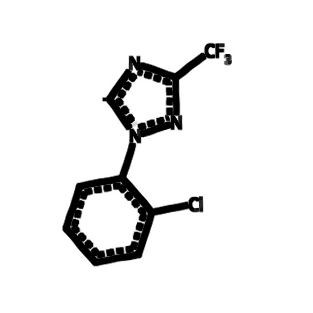 FC(F)(F)c1n[c]n(-c2ccccc2Cl)n1